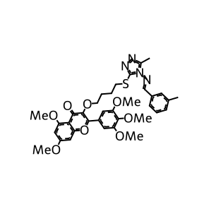 COc1cc(OC)c2c(=O)c(OCCCCSc3nnc(C)n3N=Cc3cccc(C)c3)c(-c3cc(OC)c(OC)c(OC)c3)oc2c1